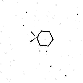 C[N+]1(C)CCCCC1.[I-]